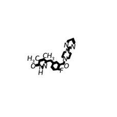 Cc1c(Cc2ccc(F)c(C(=O)N3CCN(c4ncccn4)CC3)c2)n[nH]c(=O)c1C